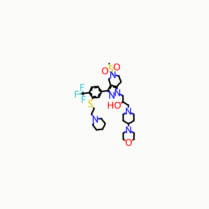 CS(=O)(=O)N1CCc2c(c(-c3ccc(C(F)(F)F)c(SCCN4CCCCC4)c3)nn2CC(O)CN2CCC(N3CCOCC3)CC2)C1